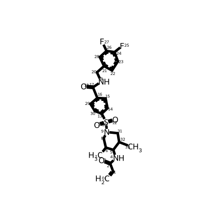 C=CC(=O)NC1C(C)CN(S(=O)(=O)c2ccc(C(=O)NCc3ccc(F)c(F)c3)cc2)CC1C